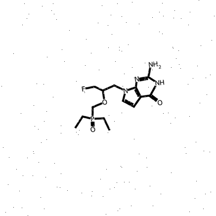 CCP(=O)(CC)COC(CF)Cn1ccc2c(=O)[nH]c(N)nc21